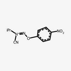 CC(C)[N+](C#N)=NOc1ccc([N+](=O)[O-])cc1